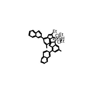 CCC1=Cc2c(-c3ccc4ccccc4c3)cc(C)cc2[CH]1[Zr]([Cl])([Cl])([CH]1C(C)=Cc2c(-c3ccc4ccccc4c3)cc(C)cc21)[SiH](CC)CC